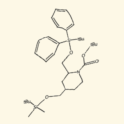 CC(C)(C)OC(=O)N1CCC(CO[Si](C)(C)C(C)(C)C)CC1CO[Si](c1ccccc1)(c1ccccc1)C(C)(C)C